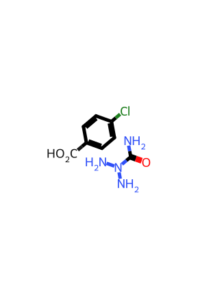 NC(=O)N(N)N.O=C(O)c1ccc(Cl)cc1